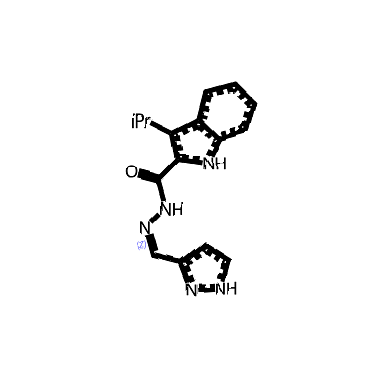 CC(C)c1c(C(=O)N/N=C\c2cc[nH]n2)[nH]c2ccccc12